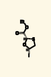 CCOC(=O)[C@H]1O[C@@H](I)CS1